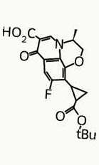 C[C@H]1COc2c(C3CC3C(=O)OC(C)(C)C)c(F)cc3c(=O)c(C(=O)O)cn1c23